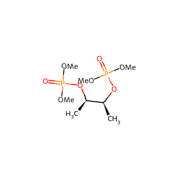 COP(=O)(OC)O[C@@H](C)[C@@H](C)OP(=O)(OC)OC